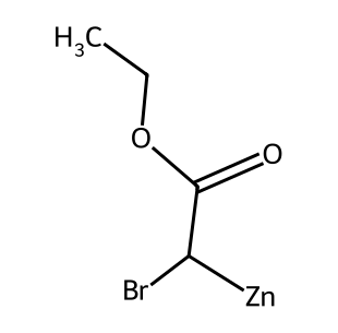 CCOC(=O)[CH]([Zn])Br